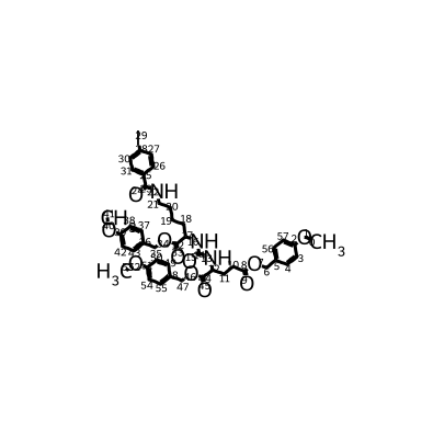 COc1ccc(COC(=O)CCC(NC(=O)NC(CCCCNC(=O)c2ccc(I)cc2)C(=O)OCc2ccc(OC)cc2)C(=O)OCc2ccc(OC)cc2)cc1